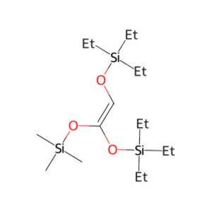 CC[Si](CC)(CC)O/C=C(\O[Si](C)(C)C)O[Si](CC)(CC)CC